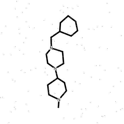 CN1CCC(N2CCN(CC3CCCCC3)CC2)CC1